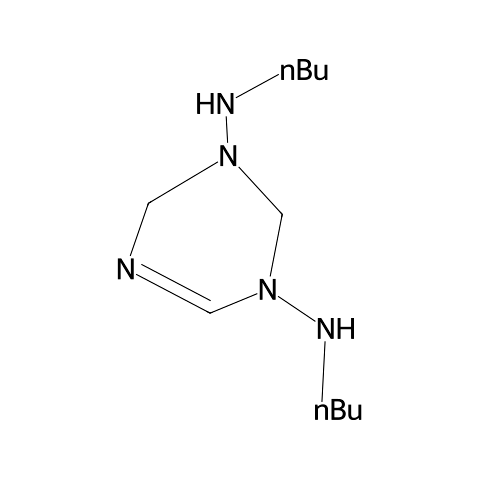 CCCCNN1C=NCN(NCCCC)C1